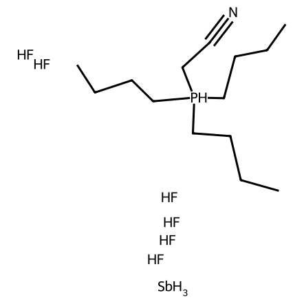 CCCC[PH](CC#N)(CCCC)CCCC.F.F.F.F.F.F.[SbH3]